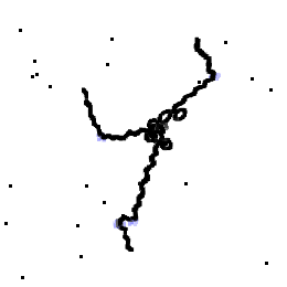 CCCC/C=C\CCCCCCCC(=O)OC[C@H](COC(=O)CCCCCCCCCCC/C=C\C/C=C\CCCCC)OC(=O)CCCCCCC/C=C\CCCCCCCC